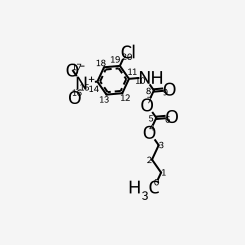 CCCCOC(=O)OC(=O)Nc1ccc([N+](=O)[O-])cc1Cl